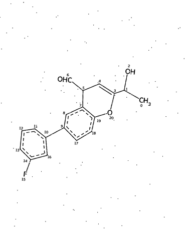 CC(O)C1=CC(C=O)c2cc(-c3cccc(F)c3)ccc2O1